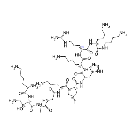 CC(NC(=O)[C@@H](NC(=O)C(N)CCCCN)[C@@H](O)CN)C(=O)NCC(=O)N[C@H](CCCN)C(=O)N1C[C@H](F)C[C@H]1C(=O)NC(Cc1cnc[nH]1)C(=O)N[C@@H](CCCCN)C(=O)N/C(=C\CCNC(=N)N)C(=O)N[C@@H](CCCCN)C(=O)NCCCCN